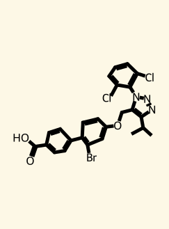 CC(C)c1nnn(-c2c(Cl)cccc2Cl)c1COc1ccc(-c2ccc(C(=O)O)cc2)c(Br)c1